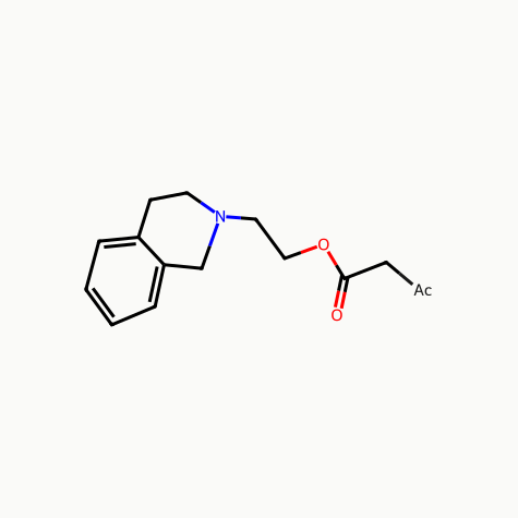 CC(=O)CC(=O)OCCN1CCc2ccccc2C1